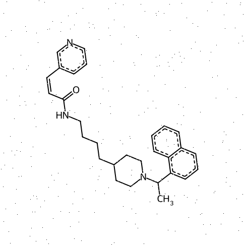 CC(c1cccc2ccccc12)N1CCC(CCCCNC(=O)/C=C\c2cccnc2)CC1